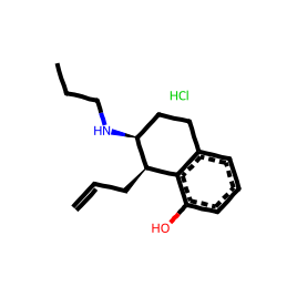 C=CC[C@@H]1c2c(O)cccc2CC[C@@H]1NCCC.Cl